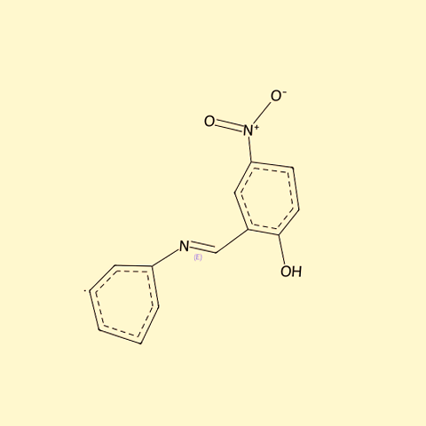 O=[N+]([O-])c1ccc(O)c(/C=N/c2c[c]ccc2)c1